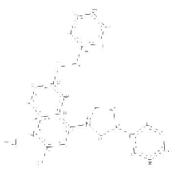 Cc1cc(N2CCC(c3ccccc3)C2)c2cc(OCc3cccnc3)ccc2n1.Cl